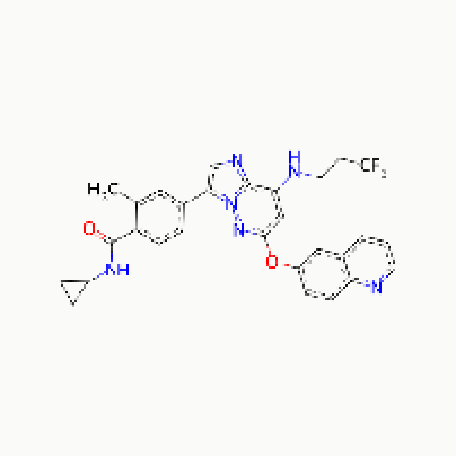 Cc1cc(-c2cnc3c(NCCC(F)(F)F)cc(Oc4ccc5ncccc5c4)nn23)ccc1C(=O)NC1CC1